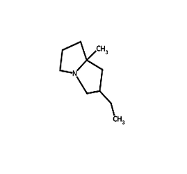 CCC1CN2CCCC2(C)C1